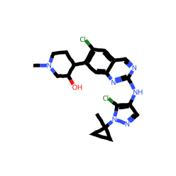 CN1CCC(c2cc3nc(Nc4cnn(C5(C)CC5)c4Cl)ncc3cc2Cl)C(O)C1